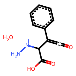 NNC(C(=O)O)C(=C=O)c1ccccc1.O